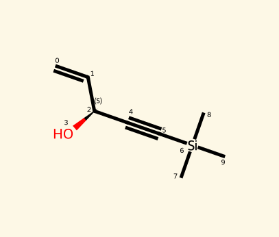 C=C[C@H](O)C#C[Si](C)(C)C